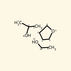 C1CCOC1.CC(C)O.CCO